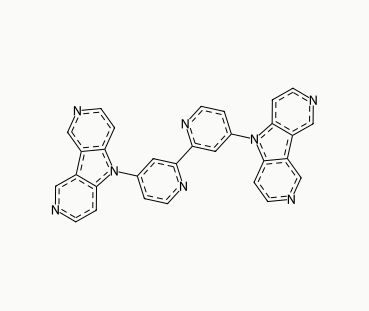 c1cc2c(cn1)c1cnccc1n2-c1ccnc(-c2cc(-n3c4ccncc4c4cnccc43)ccn2)c1